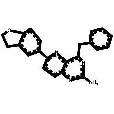 Nc1nc(Cc2ccccc2)c2nc(-c3ccc4c(c3)CCO4)ccc2n1